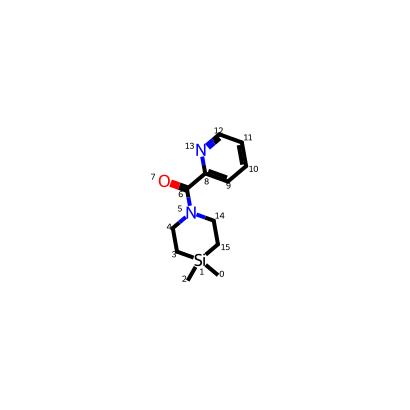 C[Si]1(C)CCN(C(=O)c2ccccn2)CC1